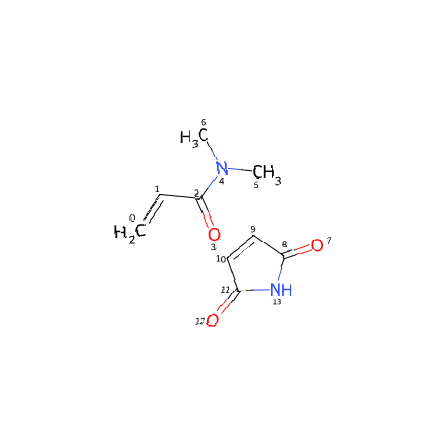 C=CC(=O)N(C)C.O=C1C=CC(=O)N1